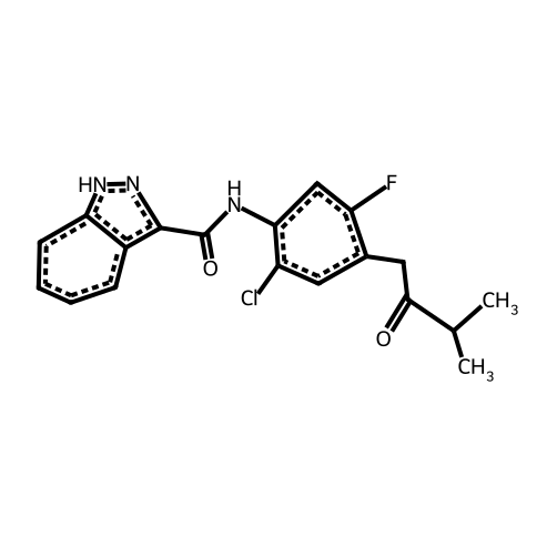 CC(C)C(=O)Cc1cc(Cl)c(NC(=O)c2n[nH]c3ccccc23)cc1F